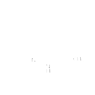 Cc1[c]c(C2CC2)n[nH]1